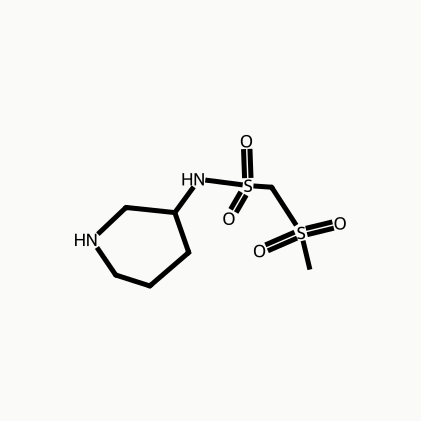 CS(=O)(=O)CS(=O)(=O)NC1CCCNC1